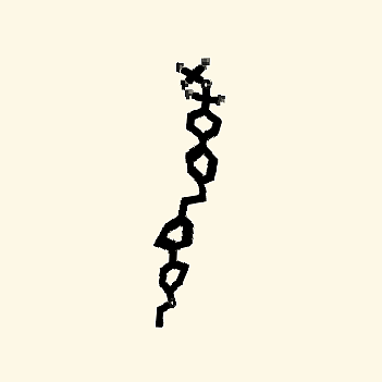 CCOC1CCC(c2ccc(CCc3ccc(C4CCC(C(F)(F)OC(F)(F)F)CC4)cc3)cc2)CC1